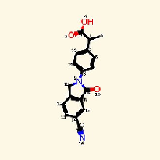 CC(C(=O)O)c1ccc(N2Cc3ccc(C#N)cc3C2=O)cc1